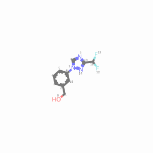 OCc1cccc(-n2cnc(C(F)F)n2)c1